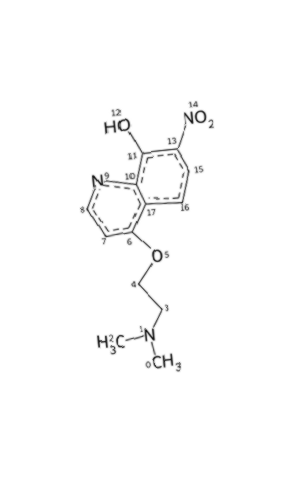 CN(C)CCOc1ccnc2c(O)c([N+](=O)[O-])ccc12